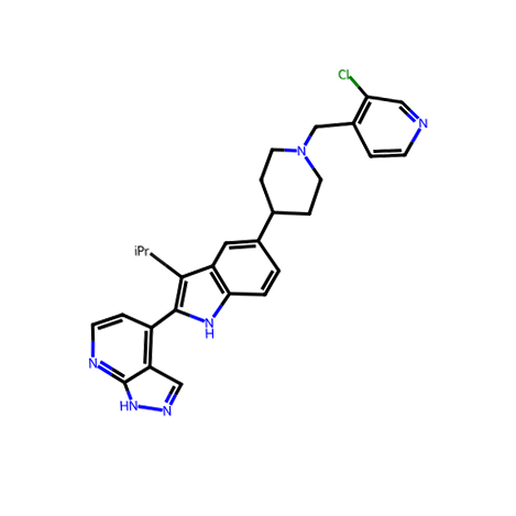 CC(C)c1c(-c2ccnc3[nH]ncc23)[nH]c2ccc(C3CCN(Cc4ccncc4Cl)CC3)cc12